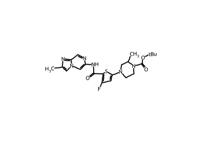 Cc1cn2cc(NC(=O)c3sc(N4CCN(C(=O)OC(C)(C)C)C(C)C4)cc3F)ncc2n1